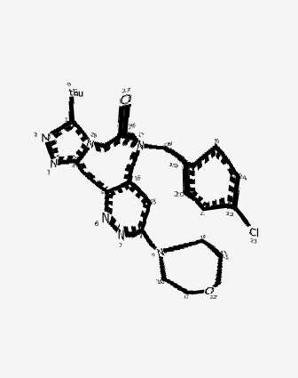 CC(C)(C)c1nnc2c3nnc(N4CCOCC4)cc3n(Cc3ccc(Cl)cc3)c(=O)n12